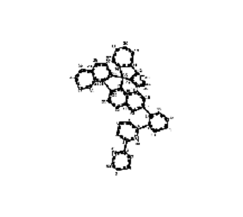 c1ccc(-c2cccc(-c3ccccc3-c3ccc4c5c(ccc4c3)-c3c(ccc4ccccc34)C53c4ccccc4-c4ccccc43)n2)nc1